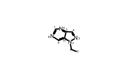 CCn1ncc2ncncc21